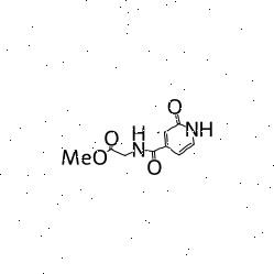 COC(=O)CNC(=O)c1[c]c(=O)[nH]cc1